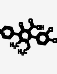 CCn1c(C)c(-c2ccncc2)c(=O)c(C(=O)O)c1-c1ccc(Cl)c(Cl)c1